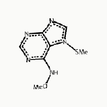 CONc1ncnc2ncn(SC)c12